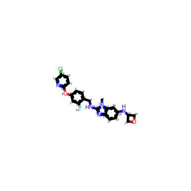 Cn1c(NCc2ccc(Oc3ccc(Cl)cn3)cc2F)nc2ccc(NC3COC3)cc21